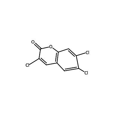 O=c1oc2cc(Cl)c(Cl)cc2cc1Cl